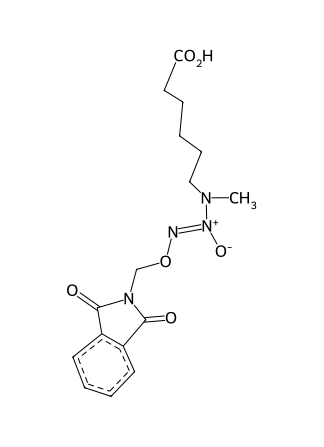 CN(CCCCCC(=O)O)[N+]([O-])=NOCN1C(=O)c2ccccc2C1=O